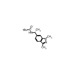 Cc1nn(C)c2cc([C@@H](C)N[S+]([O-])C(C)(C)C)ccc12